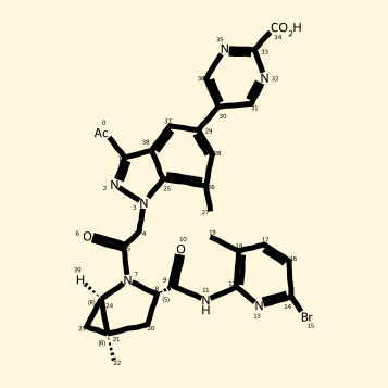 CC(=O)c1nn(CC(=O)N2[C@H](C(=O)Nc3nc(Br)ccc3C)C[C@@]3(C)C[C@@H]23)c2c(C)cc(-c3cnc(C(=O)O)nc3)cc12